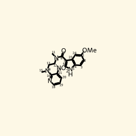 COc1ccc2[nH]cc(C(=O)N(C)CCN(C)c3ncccc3[N+](=O)[O-])c2c1